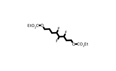 CCOC(=O)OCCCC(F)C(F)C(F)CCOC(=O)OCC